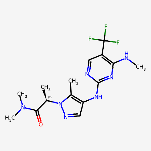 CNc1nc(Nc2cnn([C@H](C)C(=O)N(C)C)c2C)ncc1C(F)(F)F